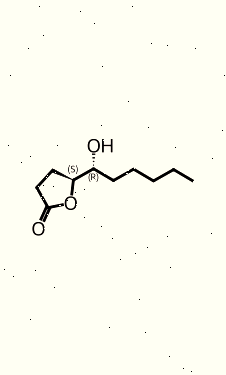 CCCCC[C@@H](O)[C@@H]1CCC(=O)O1